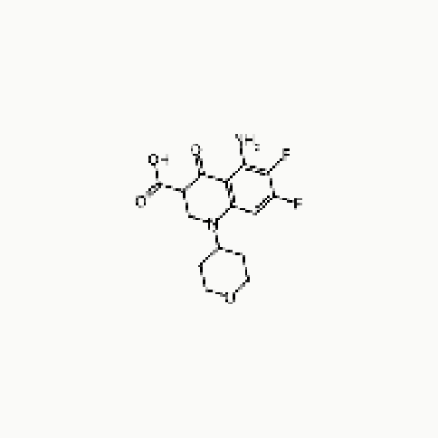 Nc1c(F)c(F)cc2c1C(=O)C(C(=O)O)CN2C1CCOCC1